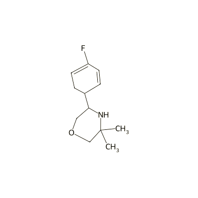 CC1(C)COCC(C2C=CC(F)=CC2)N1